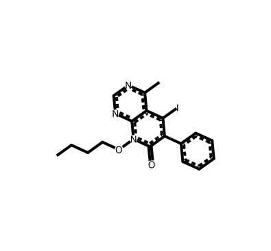 CCCCOn1c(=O)c(-c2ccccc2)c(I)c2c(C)ncnc21